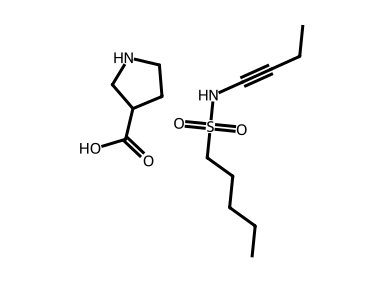 CCC#CNS(=O)(=O)CCCCC.O=C(O)C1CCNC1